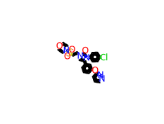 O=C1N(CCS(=O)(=O)N2CCOCC2)CC(c2cccc(Oc3cccnn3)c2)N1c1ccc(Cl)cc1